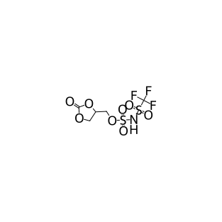 O=C1OCC(COS(=O)(=O)NS(=O)(=O)C(F)(F)F)O1